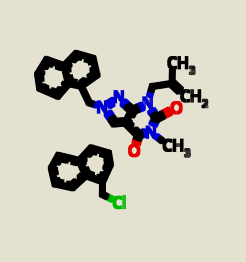 C=C(C)Cn1c(=O)n(C)c(=O)c2cn(Cc3cccc4ccccc34)nc21.ClCc1cccc2ccccc12